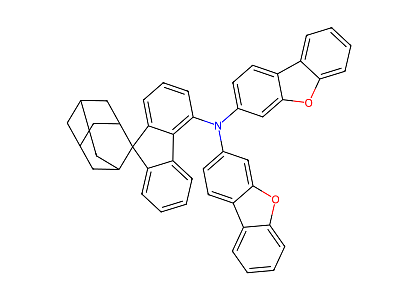 c1ccc2c(c1)-c1c(N(c3ccc4c(c3)oc3ccccc34)c3ccc4c(c3)oc3ccccc34)cccc1C21C2CC3CC(C2)CC1C3